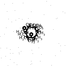 CCC1=C(C)C2=N/C1=C(/c1ccccc1)c1[nH]c(c(C)c1CC)-c1[nH]c(c(CC)c1C)C1=C(CC)C(C)C(N1)C(I)/C(C)=C(CC)\C(N)=C(/c1ccccc1)c1[nH]c2c(C)c1CC